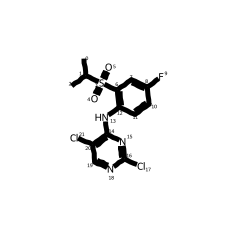 CC(C)S(=O)(=O)c1cc(F)ccc1Nc1nc(Cl)ncc1Cl